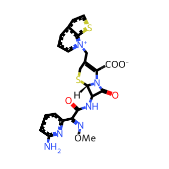 CON=C(C(=O)NC1C(=O)N2C(C(=O)[O-])=C(C[n+]3cccc4ccsc43)CS[C@@H]12)c1cccc(N)n1